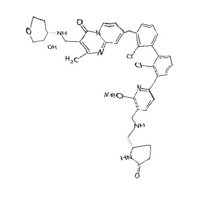 COc1nc(-c2cccc(-c3cccc(-c4ccn5c(=O)c(CN[C@H]6CCOC[C@H]6O)c(C)nc5c4)c3Cl)c2Cl)ccc1CNC[C@@H]1CCC(=O)N1